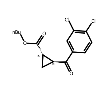 CCCCOC(=O)[C@H]1C[C@@H]1C(=O)c1ccc(Cl)c(Cl)c1